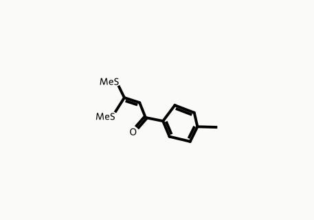 CSC(=CC(=O)c1ccc(C)cc1)SC